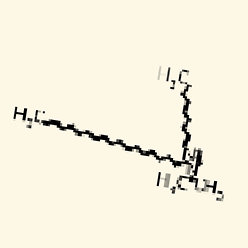 CCCCCCCCCCCCCCCCCCc1n(C(C)C)cc[n+]1CCCCCCCCC